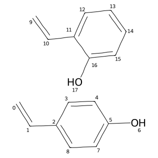 C=Cc1ccc(O)cc1.C=Cc1ccccc1O